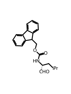 CC(C)C[C@H](C=O)NC(=O)OCC1c2ccccc2-c2ccccc21